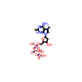 Cc1cn(C2CC(O)C(COP(=O)(O)OP(=O)(O)OP(=O)(O)O)O2)c2c1C(N)=NC(C)N2